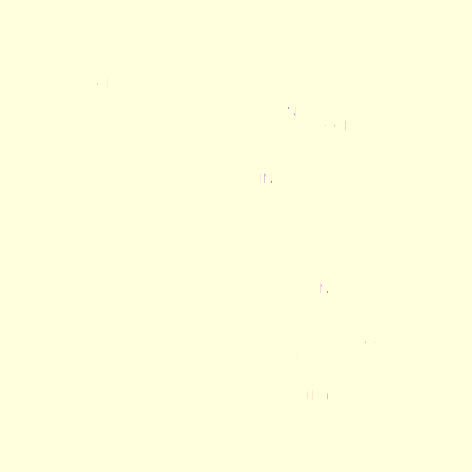 CC(C)(C)OC(=O)N1CC(C(=O)N/C(=N\O)c2ccc(Cl)cc2Cl)C1